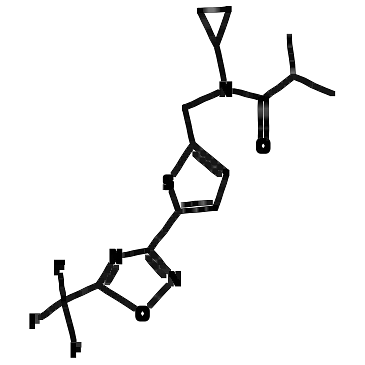 CC(C)C(=O)N(Cc1ccc(-c2noc(C(F)(F)F)n2)s1)C1CC1